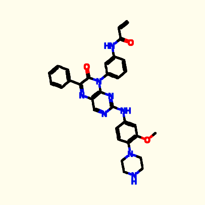 C=CC(=O)Nc1cccc(-n2c(=O)c(-c3ccccc3)nc3cnc(Nc4ccc(N5CCNCC5)c(OC)c4)nc32)c1